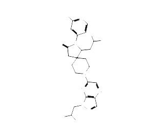 O=C1CC2(CCN(c3cnc4cnn(CC(F)F)c4n3)CC2)C(CC(F)F)N1c1ccnc(C(F)(F)F)c1